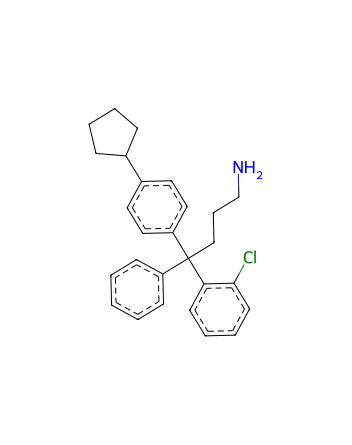 NCCCC(c1ccccc1)(c1ccc(C2CCCC2)cc1)c1ccccc1Cl